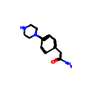 NC(=O)Cc1ccc(N2CCNCC2)cc1